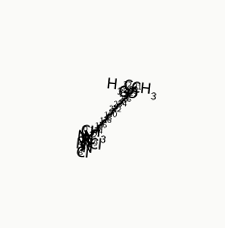 Cc1nc2nc(Cl)nc(Cl)c2n1CCCCCCCCCCCCCCCC(=O)OC(C)C